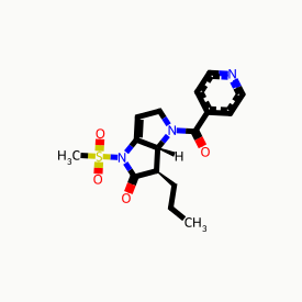 CCC[C@H]1C(=O)N(S(C)(=O)=O)C2=CCN(C(=O)c3ccncc3)[C@@H]21